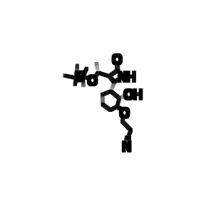 C[C@@H](O[Si](C)(C)C(C)(C)C)[C@H]1C(=O)NC1[C@H]1CCC[C@H](OCCC#N)[C@H]1O